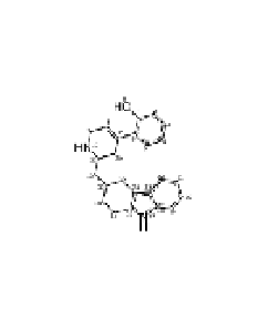 Oc1ccccc1C1=CCNC(CC2CCc3[nH]c4ccccc4c3C2)C1